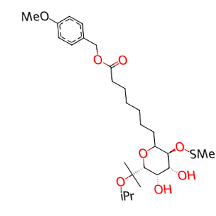 COc1ccc(COC(=O)CCCCCCC2O[C@@H](C(C)(C)OC(C)C)[C@@H](O)[C@@H](O)[C@@H]2OSC)cc1